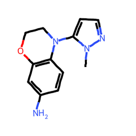 Cn1nccc1N1CCOc2cc(N)ccc21